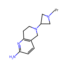 CC(C)N1CC(N2CCc3nc(N)ccc3C2)C1